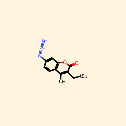 Cc1c(CC(C)(C)C)c(=O)oc2cc(N=[N+]=[N-])ccc12